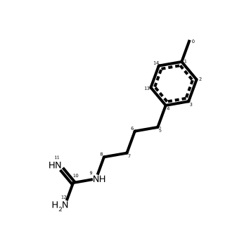 Cc1ccc([CH]CCCNC(=N)N)cc1